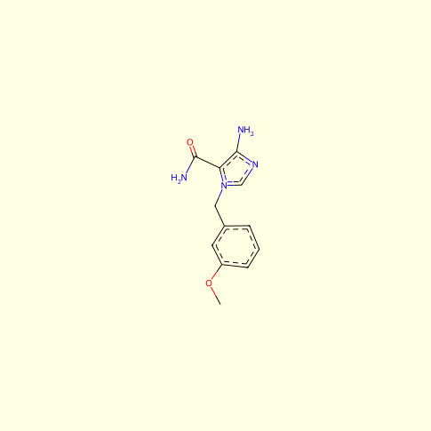 COc1cccc(Cn2cnc(N)c2C(N)=O)c1